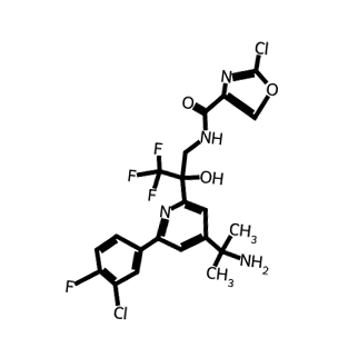 CC(C)(N)c1cc(-c2ccc(F)c(Cl)c2)nc(C(O)(CNC(=O)c2coc(Cl)n2)C(F)(F)F)c1